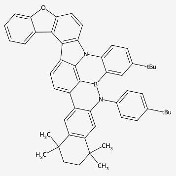 CC(C)(C)c1ccc(N2B3c4cc(C(C)(C)C)ccc4-n4c5ccc6oc7ccccc7c6c5c5ccc(c3c54)-c3cc4c(cc32)C(C)(C)CCC4(C)C)cc1